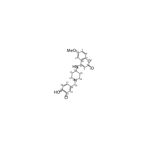 COc1ccc2oc(=O)cc(NC3CCN(Cc4ccc(O)c(Cl)c4)CC3)c2c1